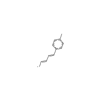 [CH2]C=CC=Cc1ccc(C)cc1